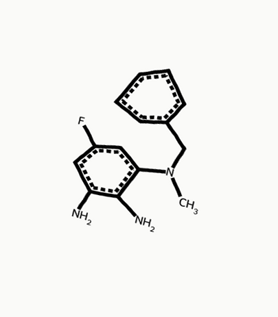 CN(Cc1ccccc1)c1cc(F)cc(N)c1N